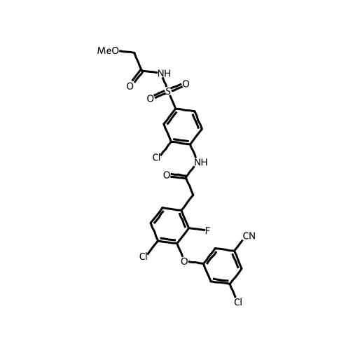 COCC(=O)NS(=O)(=O)c1ccc(NC(=O)Cc2ccc(Cl)c(Oc3cc(Cl)cc(C#N)c3)c2F)c(Cl)c1